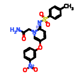 Cc1ccc(S(=O)(=O)/N=c2\ccc(Oc3cccc([N+](=O)[O-])c3)cn2CC(N)=O)cc1